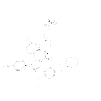 CCOc1ccc(S(=O)(=O)N2CCCCC2)cc1C1=N[C@@H](c2ccc(Cl)cc2)[C@@H](c2ccc(Cl)cc2)N1C(=O)N1CCN(CCS(C)(=O)=O)CC1